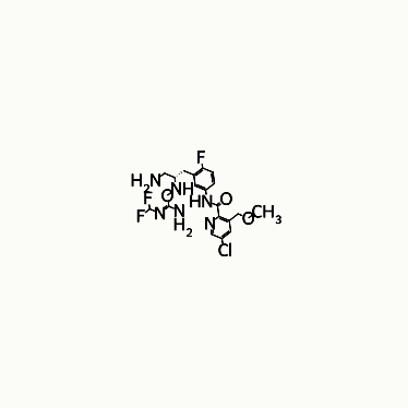 COCc1cc(Cl)cnc1C(=O)Nc1ccc(F)c(C[C@@H](CN)NO/C(N)=N\C(F)F)c1